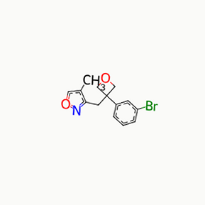 Cc1conc1CC1(c2cccc(Br)c2)COC1